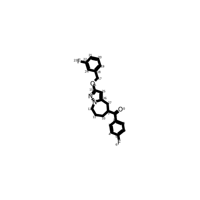 O=C(c1ccc(F)cc1)C1CCCn2nc(OCc3cccc(F)c3)cc2C1